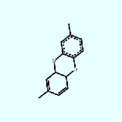 CC1=CC2Oc3cc(C)ccc3OC2C=C1